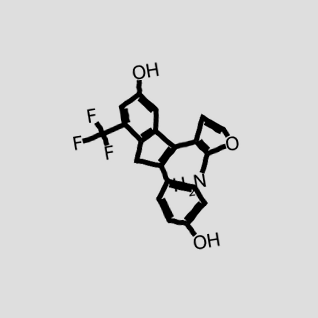 Nc1occc1C1=C(c2ccc(O)cc2)Cc2c1cc(O)cc2C(F)(F)F